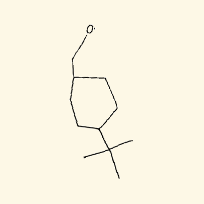 CC(C)(C)C1CCC(C[O])CC1